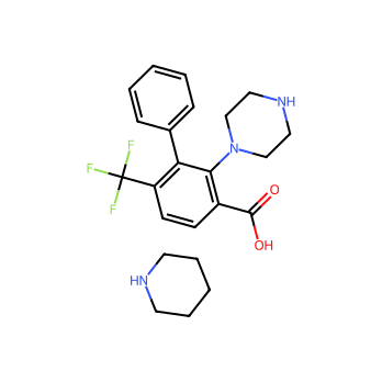 C1CCNCC1.O=C(O)c1ccc(C(F)(F)F)c(-c2ccccc2)c1N1CCNCC1